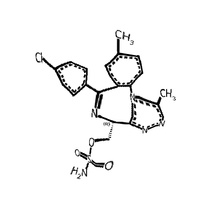 Cc1ccc2c(c1)C(c1ccc(Cl)cc1)=N[C@@H](COS(N)(=O)=O)c1nnc(C)n1-2